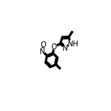 Cc1ccc(N=O)c(Oc2cc(C)[nH]n2)c1